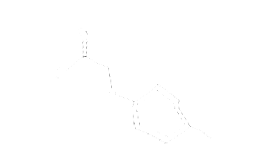 O=C(Cl)COc1ccc(F)cc1